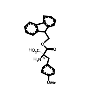 COc1ccc(C[C@](N)(C(=O)O)C(=O)OCC2c3ccccc3-c3ccccc32)cc1